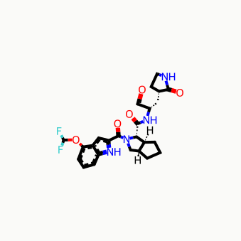 O=C[C@H](C[C@@H]1CCNC1=O)NC(=O)[C@@H]1[C@H]2CCC[C@H]2CN1C(=O)c1cc2c(OC(F)F)cccc2[nH]1